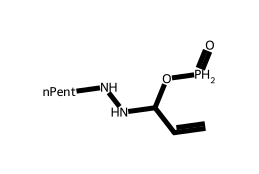 C=CC(NNCCCCC)O[PH2]=O